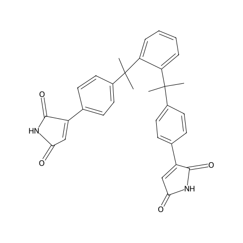 CC(C)(c1ccc(C2=CC(=O)NC2=O)cc1)c1ccccc1C(C)(C)c1ccc(C2=CC(=O)NC2=O)cc1